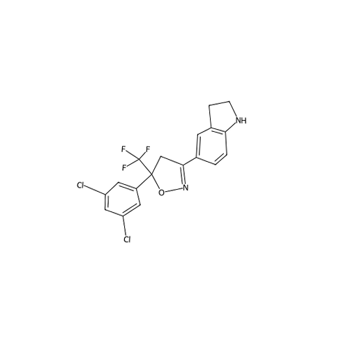 FC(F)(F)C1(c2cc(Cl)cc(Cl)c2)CC(c2ccc3c(c2)CCN3)=NO1